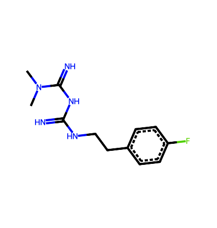 CN(C)C(=N)NC(=N)NCCc1ccc(F)cc1